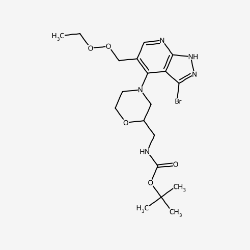 CCOOCc1cnc2[nH]nc(Br)c2c1N1CCOC(CNC(=O)OC(C)(C)C)C1